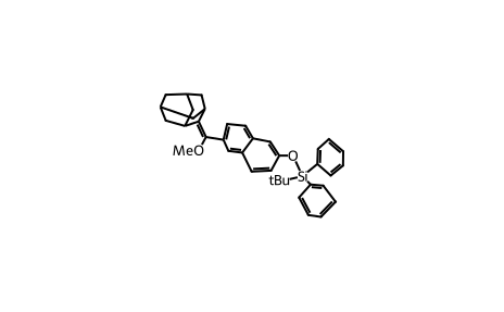 COC(=C1C2CC3CC(C2)CC1C3)c1ccc2cc(O[Si](c3ccccc3)(c3ccccc3)C(C)(C)C)ccc2c1